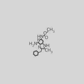 CCOC(=O)Nc1cc2c(c(N)n1)N=C(Cc1ccccc1)[C@H](C)N2